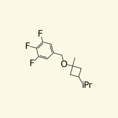 CC(C)C1CC(C)(OCc2cc(F)c(F)c(F)c2)C1